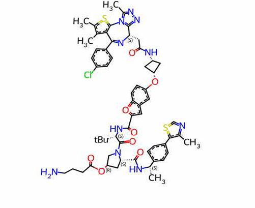 Cc1ncsc1-c1ccc([C@H](C)NC(=O)[C@@H]2C[C@@H](OC(=O)CCCN)CN2C(=O)[C@@H](NC(=O)c2cc3cc(O[C@H]4C[C@@H](NC(=O)C[C@@H]5N=C(c6ccc(Cl)cc6)c6c(sc(C)c6C)-n6c(C)nnc65)C4)ccc3o2)C(C)(C)C)cc1